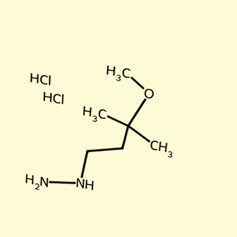 COC(C)(C)CCNN.Cl.Cl